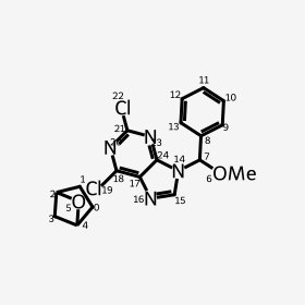 C1CC2CC1O2.COC(c1ccccc1)n1cnc2c(Cl)nc(Cl)nc21